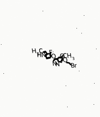 COc1cc2c(Oc3ccc4[nH]c(C)cc4c3F)cnnc2cc1OCCCBr